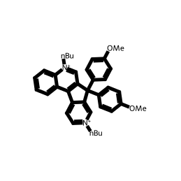 CCCC[n+]1ccc2c(c1)C(c1ccc(OC)cc1)(c1ccc(OC)cc1)c1c[n+](CCCC)c3ccccc3c1-2